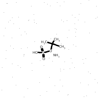 CC(C)(C)OS(=O)(=O)O.N